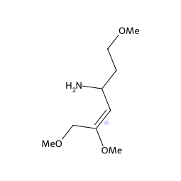 COCCC(N)/C=C(\COC)OC